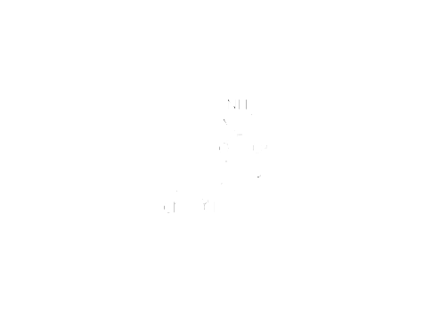 NC[C@H]1COc2cccc(-c3cccc(Cl)c3Cl)c2O1